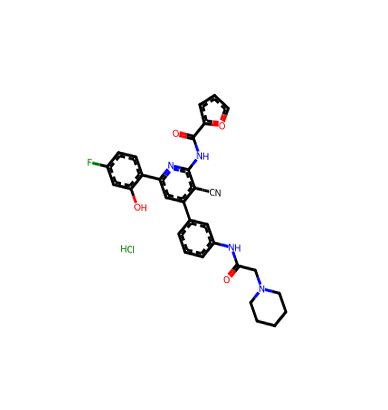 Cl.N#Cc1c(-c2cccc(NC(=O)CN3CCCCC3)c2)cc(-c2ccc(F)cc2O)nc1NC(=O)c1ccco1